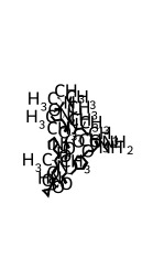 CC[C@H](C)[C@@H]([C@@H](CC(=O)N1CCC[C@H]1[C@H](OC)[C@@H](C)C(=O)N[C@@H](Cc1ccc(OCC(=O)NN)cc1)C(=O)NS(=O)(=O)C1CC1)OC)N(C)C(=O)[C@@H](NC(=O)[C@H](C(C)C)N(C)C)C(C)C